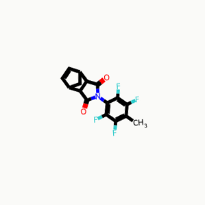 Cc1c(F)c(F)c(N2C(=O)C3C4C=CC(C4)C3C2=O)c(F)c1F